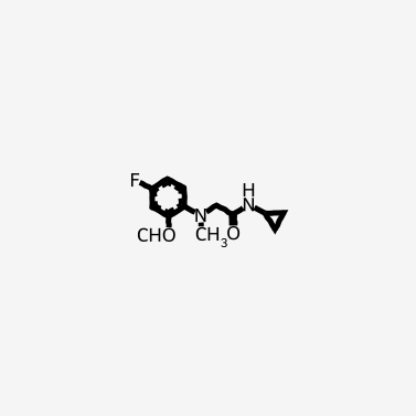 CN(CC(=O)NC1CC1)c1ccc(F)cc1C=O